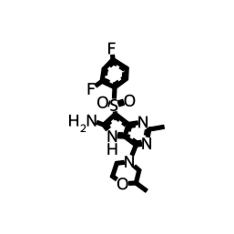 Cc1nc(N2CCOC(C)C2)c2[nH]c(N)c(S(=O)(=O)c3ccc(F)cc3F)c2n1